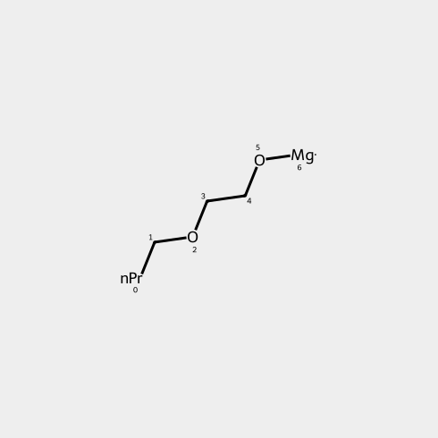 CCCCOCC[O][Mg]